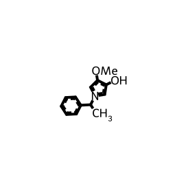 COc1cn(C(C)c2ccccc2)cc1O